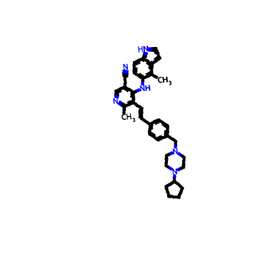 Cc1ncc(C#N)c(Nc2ccc3[nH]ccc3c2C)c1C=Cc1ccc(CN2CCN(C3CCCC3)CC2)cc1